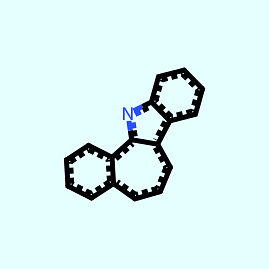 c1ccc2c3nc4ccccc4c-3cccc2c1